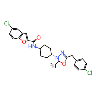 [2H]C1OC(Cc2ccc(Cl)cc2)=NN1[C@H]1CC[C@H](NC(=O)c2cc3cc(Cl)ccc3o2)CC1